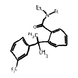 CCN(CC)C(=O)c1ccccc1C(C)(C)c1cccc(C(F)(F)F)c1